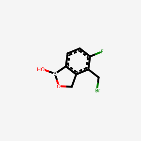 OB1OCc2c1ccc(F)c2CBr